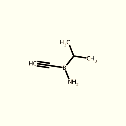 C#CB(N)C(C)C